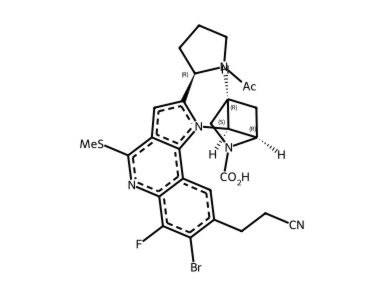 CSc1nc2c(F)c(Br)c(CCC#N)cc2c2c1cc([C@H]1CCCN1C(C)=O)n2[C@H]1[C@@H]2C[C@H]1N(C(=O)O)C2